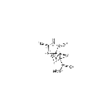 COC(=O)C12CC3CC1C2C31NC(=O)NC1=O